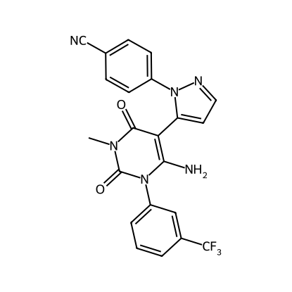 Cn1c(=O)c(-c2ccnn2-c2ccc(C#N)cc2)c(N)n(-c2cccc(C(F)(F)F)c2)c1=O